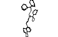 O=C(c1ccccc1)N(CC=Cc1cccc2[nH]ccc12)CCC(c1ccccc1)c1ccccc1